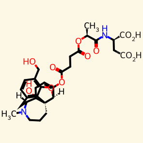 C[C@H](OC(=O)CCC(=O)OC1=CC[C@@]2(O)[C@H]3Cc4ccc(CO)c5c4[C@@]2(CCCN3C)[C@H]1O5)C(=O)N[C@H](CC(=O)O)C(=O)O